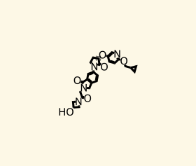 O=C(CN1Cc2ccc(N3CC[C@@H](Oc4ccc(OCC5CC5)nc4)C3=O)cc2C1=O)N1CC(O)C1